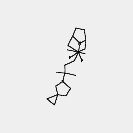 CC(C)(CCC(C)(C)N1C2CCC1CC(F)(F)C2)N1CCC2(CC2)C1